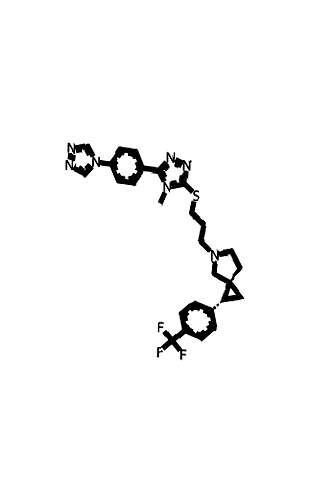 Cn1c(SCCCN2CC[C@]3(C[C@@H]3c3ccc(C(F)(F)F)cc3)C2)nnc1-c1ccc(-n2cnnc2)cc1